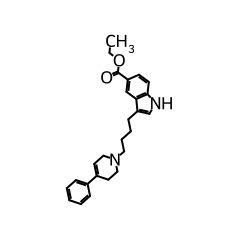 CCOC(=O)c1ccc2[nH]cc(CCCCN3CC=C(c4ccccc4)CC3)c2c1